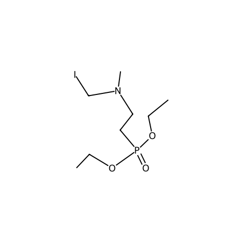 CCOP(=O)(CCN(C)CI)OCC